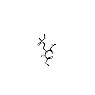 COC(=O)N[C@@H](CCP(C)(=O)OC)C(=O)OC